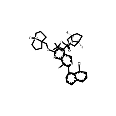 CC(C)(C)OC(=O)N1[C@@H]2CC[C@H]1CN(c1nc(OCC34CCC[N+]3([O-])CCC4)nc3c(F)c(-c4cccc5cccc(Cl)c45)ncc13)C2